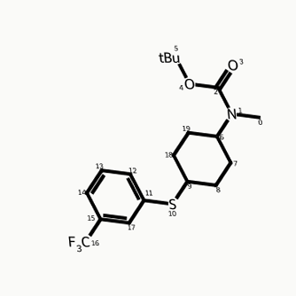 CN(C(=O)OC(C)(C)C)C1CCC(Sc2cccc(C(F)(F)F)c2)CC1